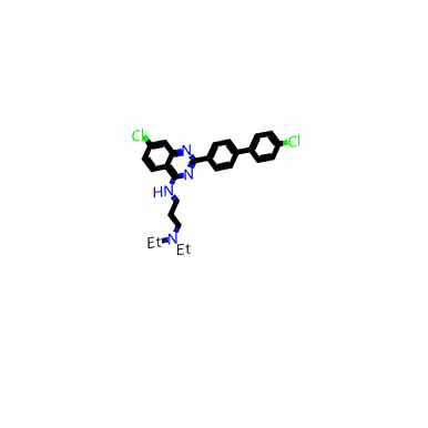 CCN(CC)CCCNc1nc(-c2ccc(-c3ccc(Cl)cc3)cc2)nc2cc(Cl)ccc12